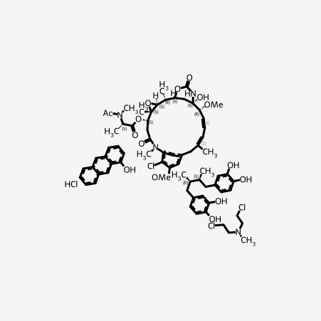 CN(CCCl)CCCl.COc1cc2cc(c1Cl)N(C)C(=O)C[C@H](OC(=O)[C@H](C)N(C)C(C)=O)[C@]1(C)O[C@H]1[C@H](C)[C@@H]1C[C@@](O)(NC(=O)O1)[C@H](OC)/C=C\C=C(\C)C2.C[C@H](Cc1ccc(O)c(O)c1)[C@@H](C)Cc1ccc(O)c(O)c1.Cl.Oc1cccc2cc3ccccc3cc12